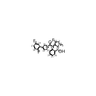 CN1C[C@@H](F)[C@H](N(C(=O)N2CC=C(c3cc(F)ccc3F)C2)c2ccccc2CO)C1